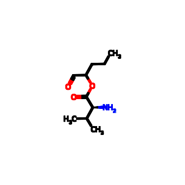 CCCC(C=O)OC(=O)[C@@H](N)C(C)C